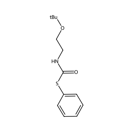 CC(C)(C)OCCNC(=O)Sc1ccccc1